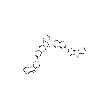 c1ccc2c(c1)oc1ccc(-c3ccc4cc5c6cccc7c8cc9ccc(-c%10ccc%11oc%12ccccc%12c%11c%10)cc9cc8n(c5cc4c3)c67)cc12